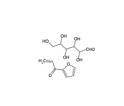 C=CC(=O)c1ccco1.O=CC(O)C(O)C(O)C(O)CO